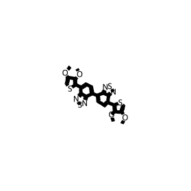 COc1csc(-c2ccc(-c3ccc(-c4scc(OC)c4OC)c4nsnc34)c3nsnc23)c1OC